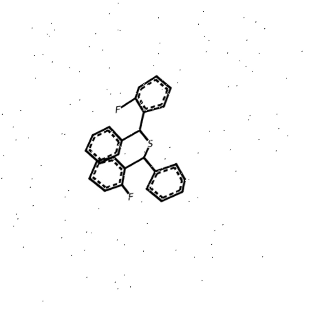 Fc1ccccc1C(SC(c1ccccc1)c1ccccc1F)c1ccccc1